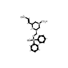 CC(C)(C)[Si](OC[C@@H]1CN(C(=O)O)CC(/C=C/C=O)O1)(c1ccccc1)c1ccccc1